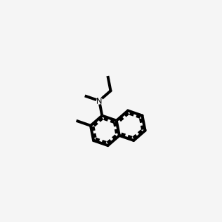 CCN(C)c1c(C)ccc2ccccc12